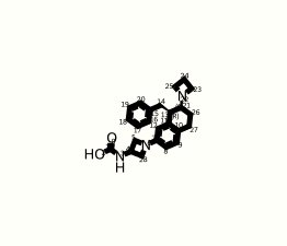 O=C(O)NC1CN(c2ccc3c(c2)[C@@H](Cc2ccccc2)[C@@H](N2CCC2)CC3)C1